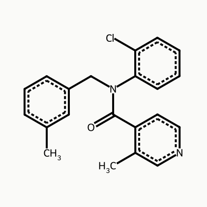 Cc1cccc(CN(C(=O)c2ccncc2C)c2ccccc2Cl)c1